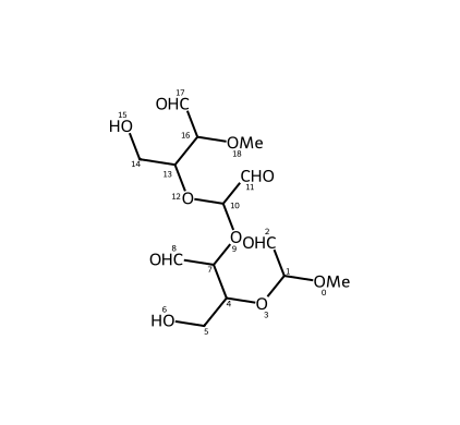 COC(C=O)OC(CO)C(C=O)OC(C=O)OC(CO)C(C=O)OC